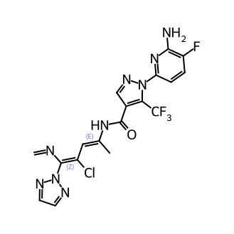 C=N/C(=C(Cl)\C=C(/C)NC(=O)c1cnn(-c2ccc(F)c(N)n2)c1C(F)(F)F)n1nccn1